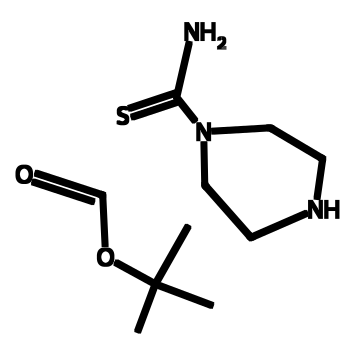 CC(C)(C)OC=O.NC(=S)N1CCNCC1